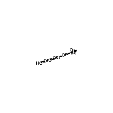 CC(C)(C)OC(=O)NCCCCOCCOCCOCCOCCOCCO